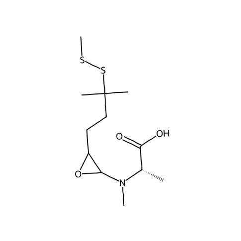 CSSC(C)(C)CCC1OC1N(C)[C@@H](C)C(=O)O